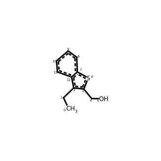 CCc1c(CO)sc2ccccc12